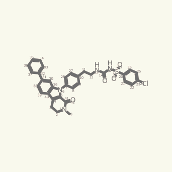 CN1CCc2c(n(-c3ccc(CCNC(=O)NS(=O)(=O)c4ccc(Cl)cc4)cc3)c3cc(-c4ccccc4)ccc23)C1=O